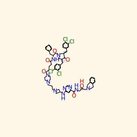 O=C(CCCC(=O)N1CCN(CCCN2CC(Nc3cc(C(=O)NC[C@H](O)CN4CCc5ccccc5C4)ncn3)C2)CC1)NC(Cc1ccccc1)C(=O)N1C/C(=C\c2ccc(Cl)c(Cl)c2)C(=O)/C(=C/c2ccc(Cl)c(Cl)c2)C1